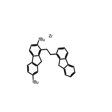 CC(C)(C)c1ccc2c(c1)Cc1c-2ccc(C(C)(C)C)c1CCc1cccc2c1Cc1ccccc1-2.[Zr]